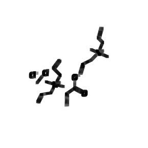 C=CC(=O)[O-].C=CC[N+](C)(C)CC=C.C=CC[N+](C)(C)CC=C.CCl.[Cl-]